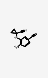 N#Cc1ccc(N)c(NC2(C#N)CC2)c1